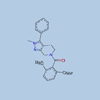 COc1cccc(OC)c1C(=O)N1CCc2c(nn(C)c2-c2ccccc2)C1